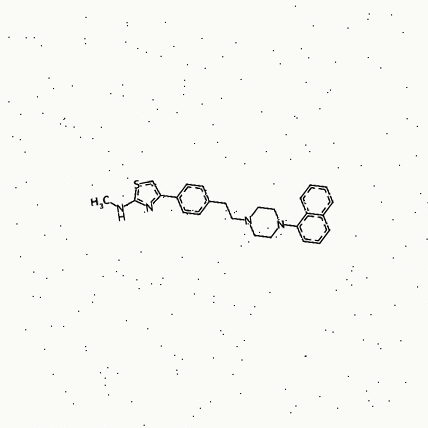 CNc1nc(-c2ccc(CCN3CCN(c4cccc5ccccc45)CC3)cc2)cs1